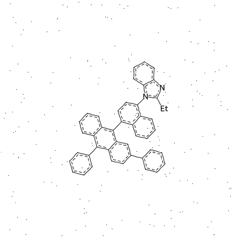 CCc1nc2ccccc2n1-c1ccc(-c2c3ccccc3c(-c3ccccc3)c3ccc(-c4ccccc4)cc23)c2ccccc12